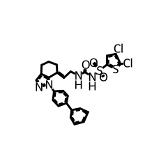 O=C(NC/C=C1\CCCc2cnn(-c3ccc(-c4ccccc4)cc3)c21)NS(=O)(=O)c1cc(Cl)c(Cl)s1